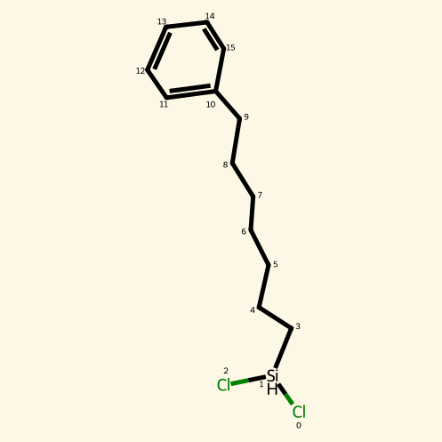 Cl[SiH](Cl)CCCCCCCc1ccccc1